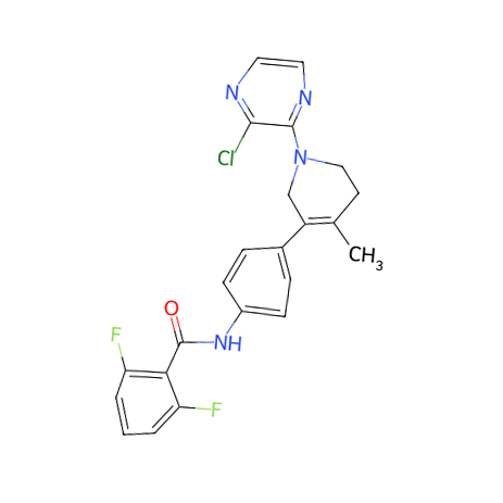 CC1=C(c2ccc(NC(=O)c3c(F)cccc3F)cc2)CN(c2nccnc2Cl)CC1